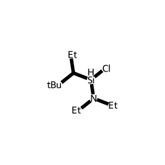 CCC([SiH](Cl)N(CC)CC)C(C)(C)C